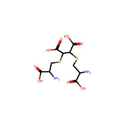 NC(CSC(C(=O)O)C(SCC(N)C(=O)O)C(=O)O)C(=O)O